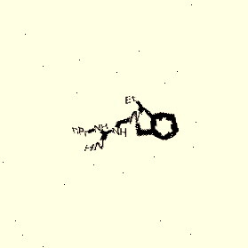 CCCNC(=N)NCN1Cc2ccccc2C1CC